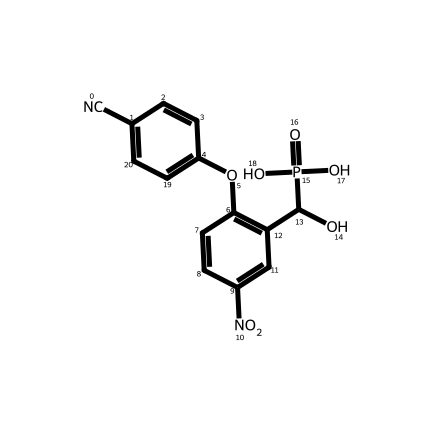 N#Cc1ccc(Oc2ccc([N+](=O)[O-])cc2C(O)P(=O)(O)O)cc1